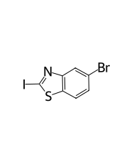 Brc1ccc2sc(I)nc2c1